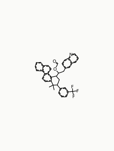 CC1(C)c2ccc3c(ccc4ccccc43)c2C(C(Cc2ccc3ncccc3c2)OC=O)CC1c1cccc(C(F)(F)F)c1